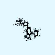 OC(c1cccc(-c2cc(N3CCCC3)c3nonc3c2)c1)C(F)(F)F